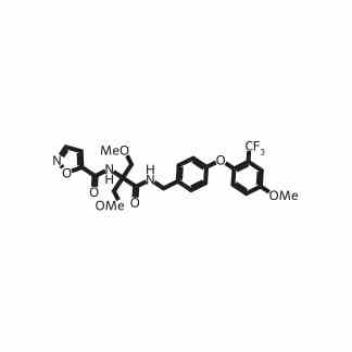 COCC(COC)(NC(=O)c1ccno1)C(=O)NCc1ccc(Oc2ccc(OC)cc2C(F)(F)F)cc1